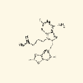 CC(C)NCCCn1c(Cc2cc3c(cc2I)OC(C)O3)nc2c(N)nc(F)nc21